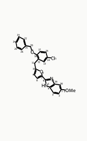 COc1ccc2[nH]c(-c3ccc(Cc4cc(Cl)ccc4OCc4ccccc4)o3)nc2c1